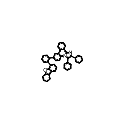 c1ccc(-c2nc3c4ccccc4c4cc(-c5ccccc5-c5cccc6c5oc5ccccc56)ccc4n3c2-c2ccccc2)cc1